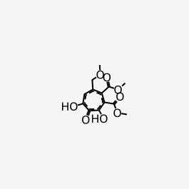 COCc1cc(O)c(=O)c(O)c(C(=O)OC)c1C(=O)OC